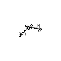 C=CC(=O)NCCCCOC(=O)c1ccc(OCCCCNC(=O)C=C)c(OC)c1